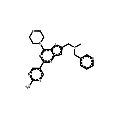 CN(Cc1cccnc1)Cc1cc2nc(-c3cnc(N)nc3)nc(N3CCOCC3)c2s1